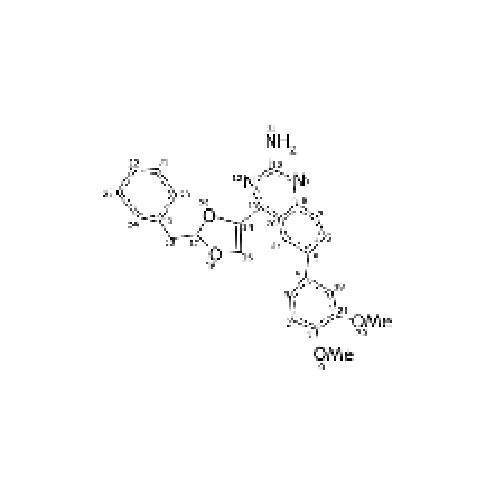 COc1ccc(-c2ccc3nc(N)nc(C4=COC(Cc5ccccc5)O4)c3c2)cc1OC